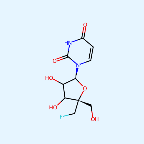 O=c1ccn([C@H]2O[C@](CO)(CF)C(O)C2O)c(=O)[nH]1